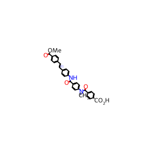 COC(=O)c1ccc(/C=C/c2ccc(NC(=O)c3ccc(N(C)C(=O)c4ccc(C(=O)O)cc4)cc3)cc2)cc1